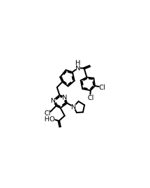 C=C(O)Cc1c(Cl)nc(Cc2ccc(NC(=C)c3ccc(Cl)c(Cl)c3)cc2)nc1N1CCCC1